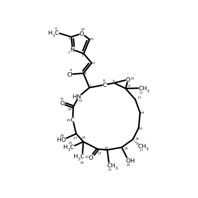 Cc1nc(C=C(Cl)C2CC3OC3(C)CCC[C@H](C)C(O)C(C)C(=O)C(C)(C)C(O)CC(=O)N2)co1